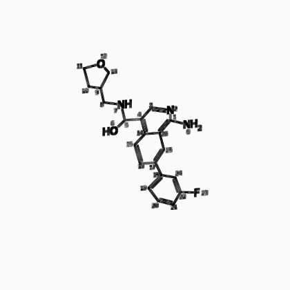 Nc1ncc(C(O)NCC2CCOC2)c2ccc(-c3cccc(F)c3)cc12